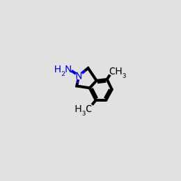 Cc1ccc(C)c2c1CN(N)C2